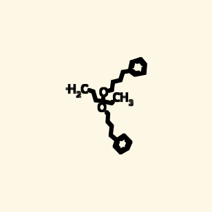 [CH2]CCC(CC)(OCCCCc1ccccc1)OCCCCc1ccccc1